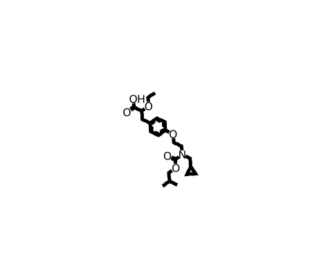 CCOC(Cc1ccc(OCCN(CC2CC2)C(=O)OCC(C)C)cc1)C(=O)O